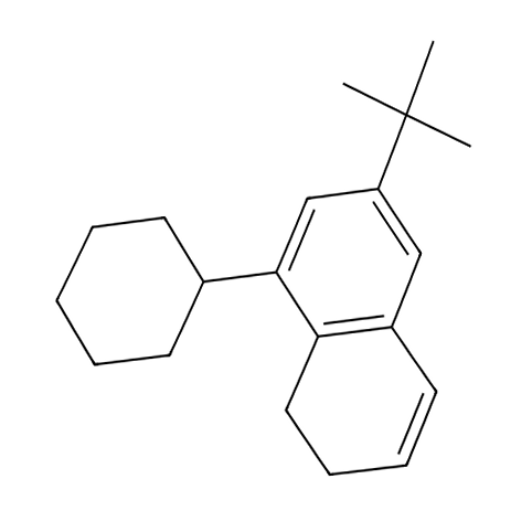 CC(C)(C)c1cc2c(c(C3CCCCC3)c1)CCC=C2